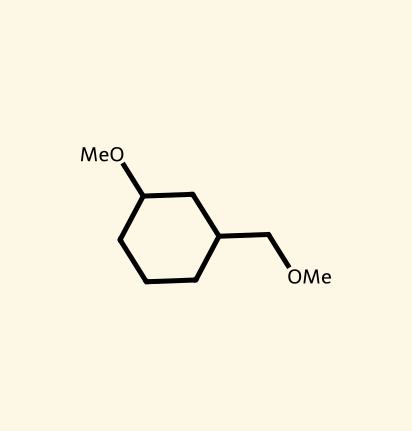 COCC1CCCC(OC)C1